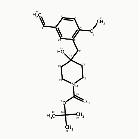 C=Cc1ccc(OC)c(CC2(O)CCN(C(=O)OC(C)(C)C)CC2)c1